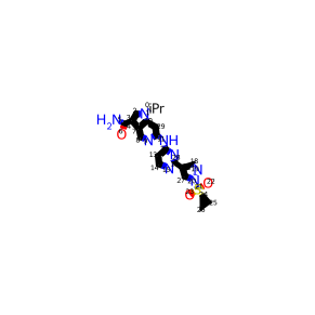 CC(C)n1cc(C(N)=O)c2cnc(Nc3ccnc(-c4cnn(S(=O)(=O)C5CC5)c4)n3)cc21